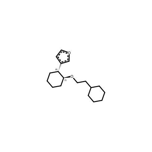 c1cc([C@H]2CCCC[C@@H]2OCCC2CCCCC2)co1